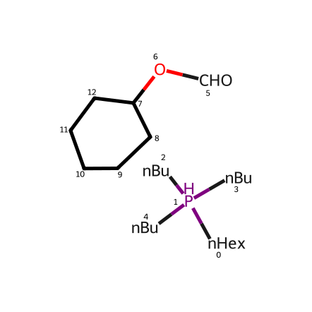 CCCCCC[PH](CCCC)(CCCC)CCCC.O=COC1CCCCC1